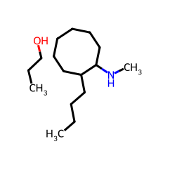 CCCCC1CCCCCCC1NC.CCCO